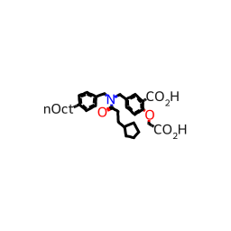 CCCCCCCCc1ccc(CN(Cc2ccc(OCC(=O)O)c(C(=O)O)c2)C(=O)CCC2CCCC2)cc1